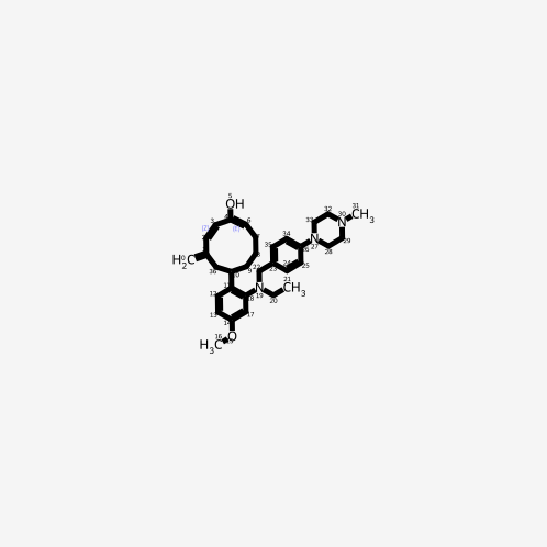 C=C1/C=C\C(O)=C/CCCC(c2ccc(OC)cc2N(CC)Cc2ccc(N3CCN(C)CC3)cc2)C1